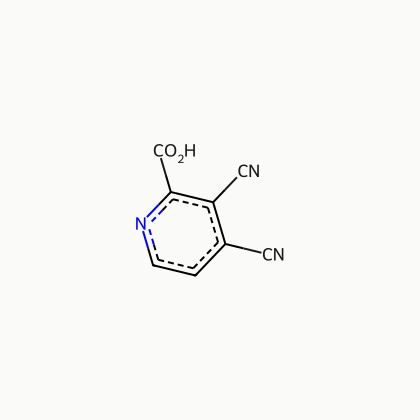 N#Cc1ccnc(C(=O)O)c1C#N